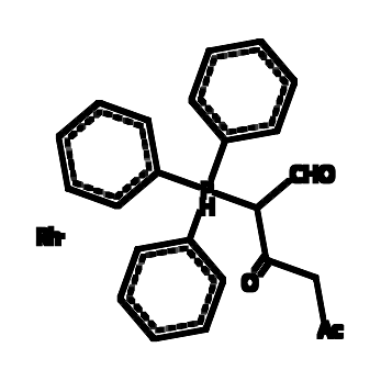 CC(=O)CC(=O)C(C=O)[PH](c1ccccc1)(c1ccccc1)c1ccccc1.[Rh]